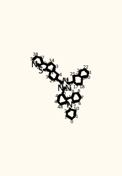 c1ccc(-n2c3ccccc3c3c(-c4nc(-c5ccc6ccccc6c5)nc(-c5ccc6c(ccc7c8cccnc8sc67)c5)n4)cccc32)cc1